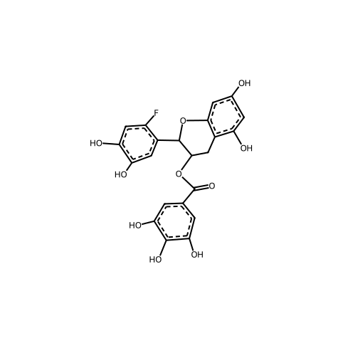 O=C(OC1Cc2c(O)cc(O)cc2OC1c1cc(O)c(O)cc1F)c1cc(O)c(O)c(O)c1